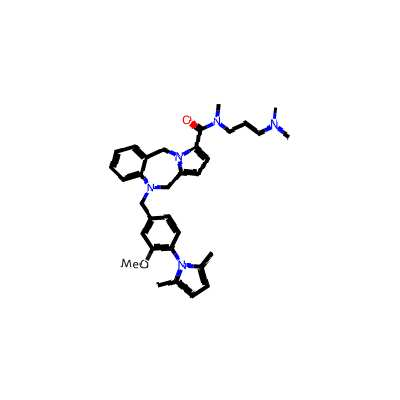 COc1cc(CN2Cc3ccc(C(=O)N(C)CCCN(C)C)n3Cc3ccccc32)ccc1-n1c(C)ccc1C